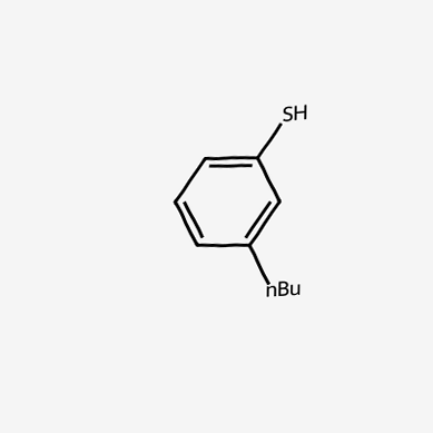 CCCCc1cccc(S)c1